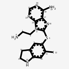 NCCn1c(Sc2cc3c(cc2I)NCC3)nc2c(N)ncnc21